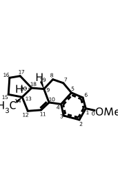 COc1ccc2c(c1)CC[C@@H]1C2=CC[C@]2(C)CCC[C@@H]12